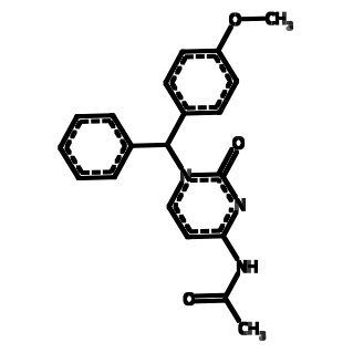 COc1ccc(C(c2ccccc2)n2ccc(NC(C)=O)nc2=O)cc1